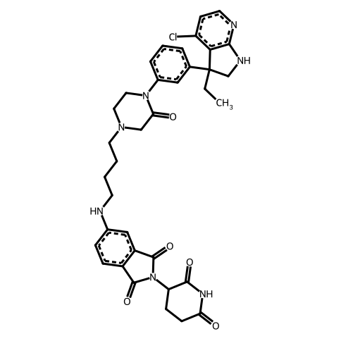 CCC1(c2cccc(N3CCN(CCCCNc4ccc5c(c4)C(=O)N(C4CCC(=O)NC4=O)C5=O)CC3=O)c2)CNc2nccc(Cl)c21